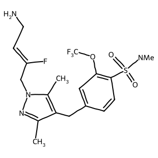 CNS(=O)(=O)c1ccc(Cc2c(C)nn(CC(F)=CCN)c2C)cc1OC(F)(F)F